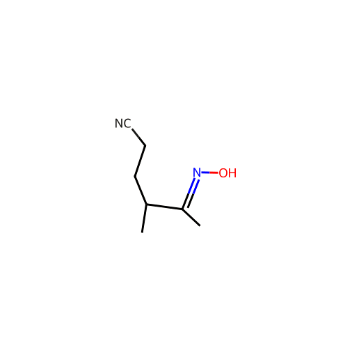 CC(=NO)C(C)CCC#N